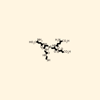 NC(CCC(=O)NC(CSSCC(NC(=O)CCC(N)C(=O)O)C(=O)NCC(=O)NCCS)C(=O)NCC(=O)CC(=O)O)C(=O)O